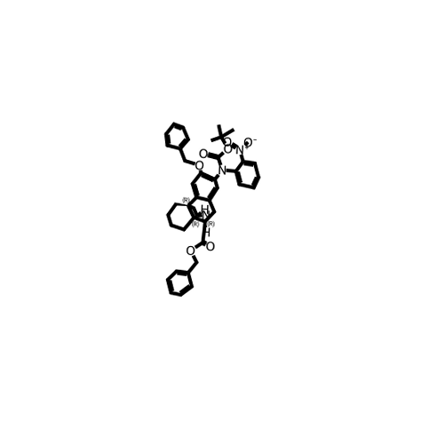 CC(C)(C)OC(=O)N(c1cc2c(cc1OCc1ccccc1)[C@@]13CCCC[C@H]1[C@@H](C2)N(C(=O)OCc1ccccc1)CC3)c1ccccc1[N+](=O)[O-]